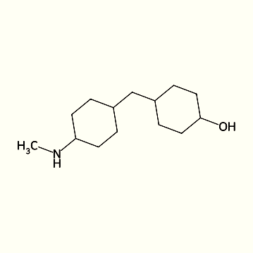 CNC1CCC(CC2CCC(O)CC2)CC1